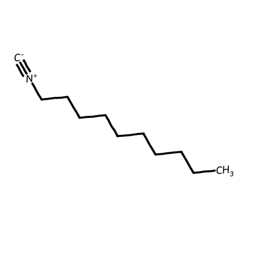 [C-]#[N+]CCCCCCCCCC